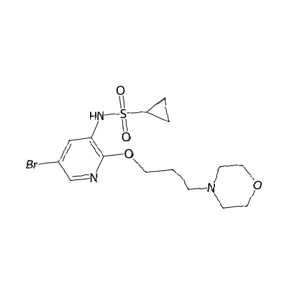 O=S(=O)(Nc1cc(Br)cnc1OCCCN1CCOCC1)C1CC1